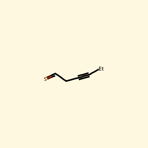 CCC#CCC=S